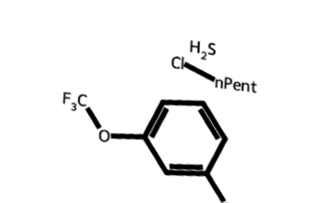 CCCCCCl.FC(F)(F)Oc1cccc(Br)c1.S